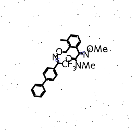 CNC(=O)/C(=N/OC)c1cccc(C)c1CO/N=C(/c1ccc(-c2ccccc2)cc1)C(F)(F)F